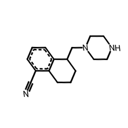 N#Cc1cccc2c1CCCC2CN1CCNCC1